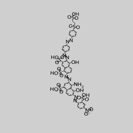 Nc1c(N=Nc2ccc3c(O)c(N=Nc4ccc(N=Nc5ccc(S(=O)(=O)CCS(=O)(=O)O)cc5)cc4)c(S(=O)(=O)O)cc3c2S(=O)(=O)O)cc(S(=O)(=O)O)c2ccc(N=Nc3ccc([N+](=O)[O-])cc3S(=O)(=O)O)c(O)c12